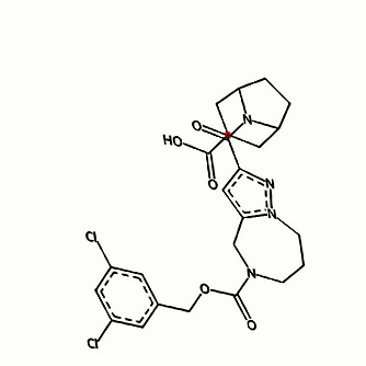 O=C(O)C1CC2CCC(C1)N2C(=O)c1cc2n(n1)CCCN(C(=O)OCc1cc(Cl)cc(Cl)c1)C2